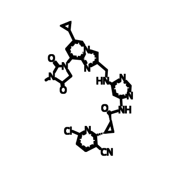 CN1C(=O)CN(c2cc(C3CC3)cn3cc(CNc4cc(NC(=O)[C@H]5C[C@@H]5c5nc(Cl)ccc5C#N)ncn4)nc23)C1=O